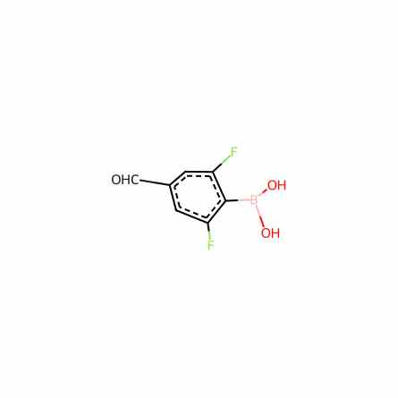 O=Cc1cc(F)c(B(O)O)c(F)c1